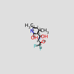 Cc1cc(C)c(/C(O)=C/C(=O)C(F)F)c(O)n1